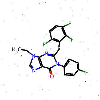 CCn1cnc2c(=O)n(-c3ccc(F)cc3)c(Cc3c(F)ccc(F)c3F)nc21